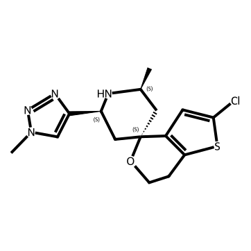 C[C@H]1C[C@@]2(C[C@@H](c3cn(C)nn3)N1)OCCc1sc(Cl)cc12